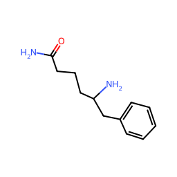 NC(=O)CCCC(N)Cc1ccccc1